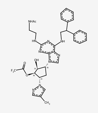 CC(=O)NCCNc1nc(NCC(c2ccccc2)c2ccccc2)c2ncn([C@@H]3C[C@H](n4cc(C)cn4)[C@@H](OC(=O)C(F)(F)F)[C@H]3O)c2n1